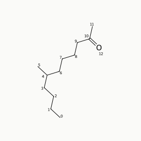 CCCCC(C)CCCCC(C)=O